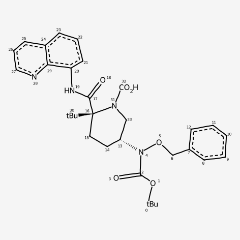 CC(C)(C)OC(=O)N(OCc1ccccc1)[C@@H]1CC[C@@](C(=O)Nc2cccc3cccnc23)(C(C)(C)C)N(C(=O)O)C1